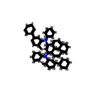 Cc1ccc(-c2ccccc2)cc1N(c1ccccc1)c1cc(N(c2ccccc2)c2cc(-c3ccccc3)ccc2C)c2ccc3cccc4ccc1c2c43